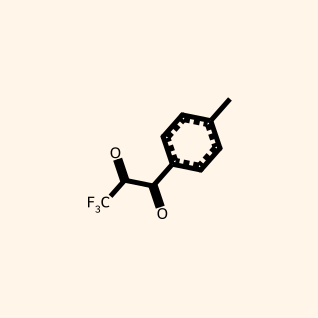 Cc1ccc(C(=O)C(=O)C(F)(F)F)cc1